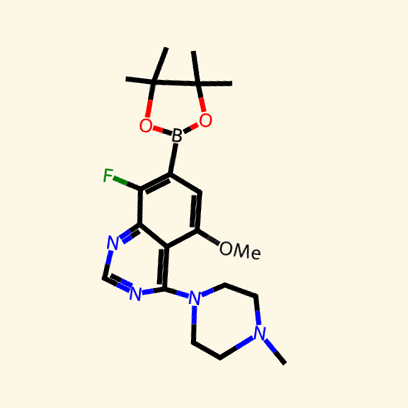 COc1cc(B2OC(C)(C)C(C)(C)O2)c(F)c2ncnc(N3CCN(C)CC3)c12